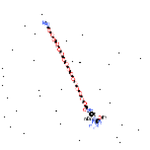 CCCCc1nc2c(N)nnc(OC(C)C)c2n1C[C@H]1CC[C@H](CNC(=O)C=COCCOCCOCCOCCOCCOCCOCCOCCOCCOCCOCCOCCOCCOCCOCCOCCN=[N+]=[N-])CC1